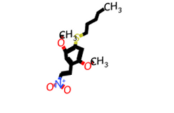 CCCCCSc1cc(OC)c(C=C[N+](=O)[O-])cc1OC